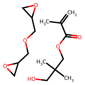 C(OCC1CO1)C1CO1.C=C(C)C(=O)OCC(C)(C)CO